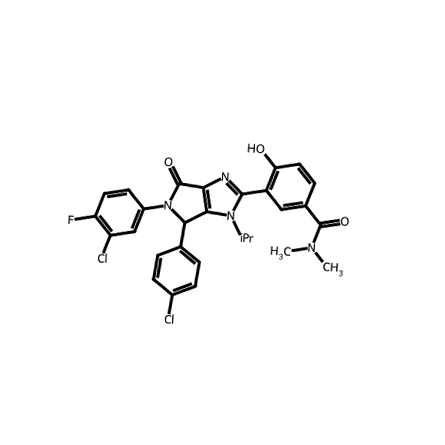 CC(C)n1c(-c2cc(C(=O)N(C)C)ccc2O)nc2c1C(c1ccc(Cl)cc1)N(c1ccc(F)c(Cl)c1)C2=O